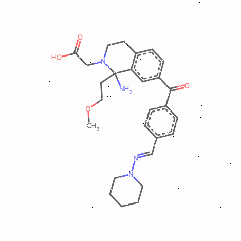 COCCC1(N)c2cc(C(=O)c3ccc(C=NN4CCCCC4)cc3)ccc2CCN1CC(=O)O